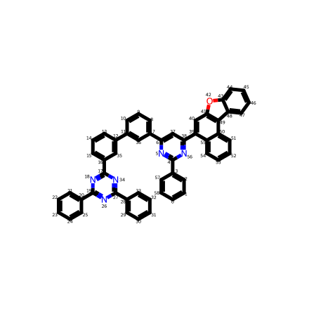 c1ccc(-c2nc(-c3cccc(-c4cccc(-c5nc(-c6ccccc6)nc(-c6ccccc6)n5)c4)c3)cc(-c3cc4oc5ccccc5c4c4ccccc34)n2)cc1